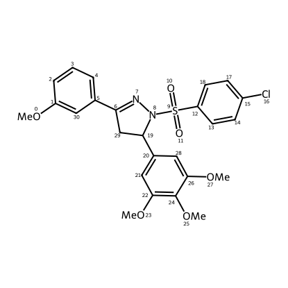 COc1cccc(C2=NN(S(=O)(=O)c3ccc(Cl)cc3)C(c3cc(OC)c(OC)c(OC)c3)C2)c1